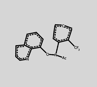 CC(=O)N(Oc1cccc2cccnc12)c1ccccc1C(F)(F)F